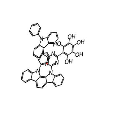 Oc1c(O)c(O)c(-c2nc(-c3cccc4c3c3ccccc3n4-c3ccccc3)nc(-n3c4ccccc4c4ccc5c6ccccc6n(-c6ccccc6)c5c43)n2)c(O)c1O